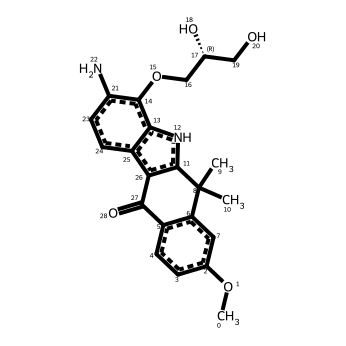 COc1ccc2c(c1)C(C)(C)c1[nH]c3c(OC[C@H](O)CO)c(N)ccc3c1C2=O